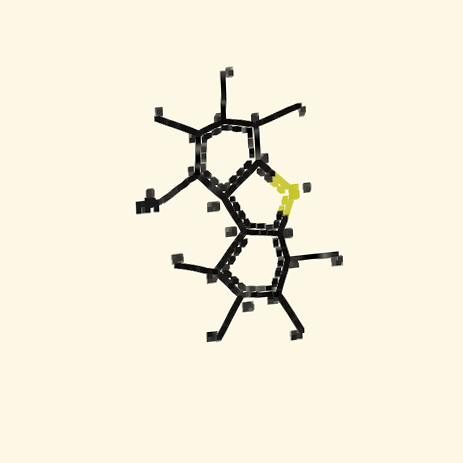 CCCc1c(C)c(C)c(C)c2sc3c(C)c(C)c(C)c(C)c3c12